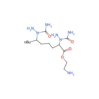 CCCCC(CCCC(C(=O)OCCN)N(N)C(N)=O)N(N)C(N)=O